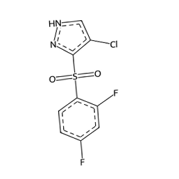 O=S(=O)(c1ccc(F)cc1F)c1n[nH]cc1Cl